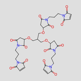 O=C1C=CC(=O)N1CCCN1C(=O)CC(OCC(COC2CC(=O)N(CCCN3C(=O)C=CC3=O)C2=O)COC2CC(=O)N(CCCN3C(=O)C=CC3=O)C2=O)C1=O